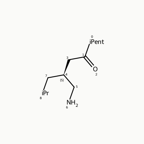 CCCC(C)C(=O)C[C@@H](CN)CC(C)C